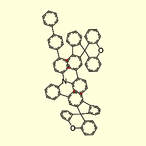 c1ccc(-c2ccc(-c3ccc(N(c4ccccc4-c4ccc5c(c4)C4(c6ccccc6Oc6ccccc64)c4ccccc4-5)c4ccccc4-c4ccc5c(c4)C4(c6ccccc6Oc6ccccc64)c4ccccc4-5)cc3)cc2)cc1